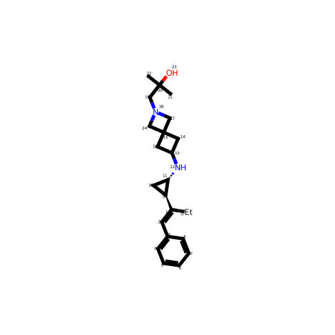 CC/C(=C\c1ccccc1)[C@H]1C[C@@H]1NC1CC2(C1)CN(CC(C)(C)O)C2